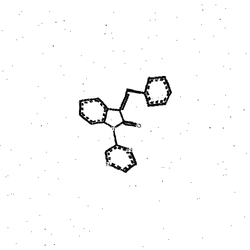 O=C1C(=Cc2ccccc2)c2ccccc2N1c1cnccn1